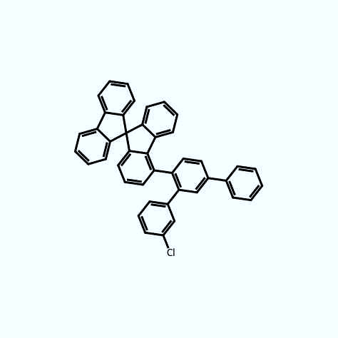 Clc1cccc(-c2cc(-c3ccccc3)ccc2-c2cccc3c2-c2ccccc2C32c3ccccc3-c3ccccc32)c1